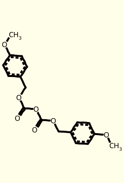 COc1ccc(COC(=O)OC(=O)OCc2ccc(OC)cc2)cc1